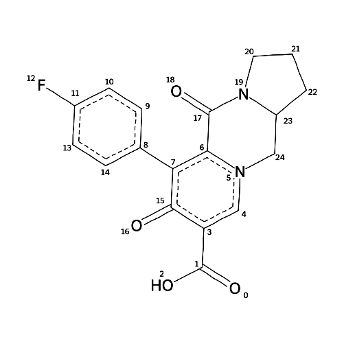 O=C(O)c1cn2c(c(-c3ccc(F)cc3)c1=O)C(=O)N1CCCC1C2